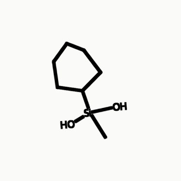 C[Si](O)(O)C1CCCCC1